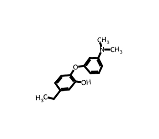 CCc1ccc(Oc2cccc(N(C)C)c2)c(O)c1